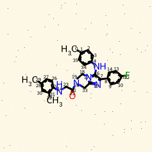 Cc1ccc(Nc2c(-c3ccc(F)cc3)nc3n2CCN(C(=O)CNc2ccc(C)cc2C)C3)cc1